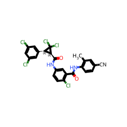 Cc1cc(C#N)ccc1NC(=O)c1cc(NC(=O)[C@H]2[C@H](c3cc(Cl)cc(Cl)c3)C2(Cl)Cl)ccc1Cl